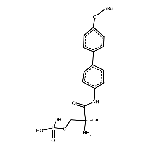 CCCCOc1ccc(-c2ccc(NC(=O)[C@@](C)(N)COP(=O)(O)O)cc2)cc1